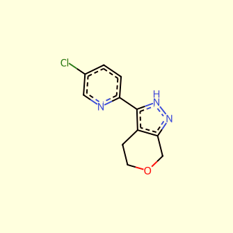 Clc1ccc(-c2[nH]nc3c2CCOC3)nc1